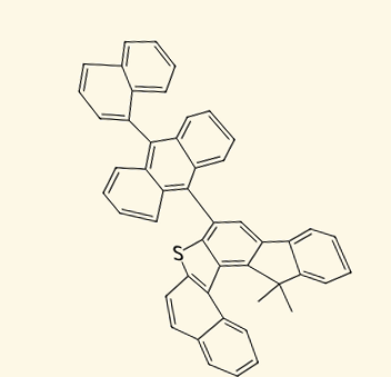 CC1(C)c2ccccc2-c2cc(-c3c4ccccc4c(-c4cccc5ccccc45)c4ccccc34)c3sc4ccc5ccccc5c4c3c21